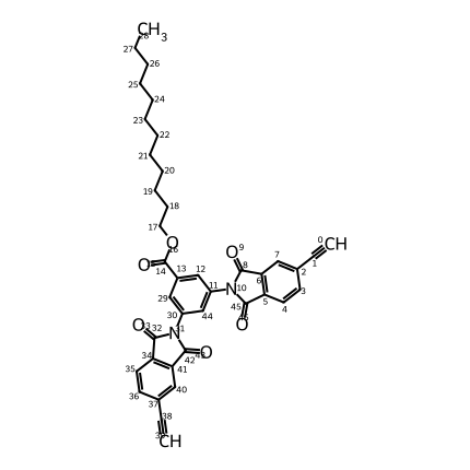 C#Cc1ccc2c(c1)C(=O)N(c1cc(C(=O)OCCCCCCCCCCCC)cc(N3C(=O)c4ccc(C#C)cc4C3=O)c1)C2=O